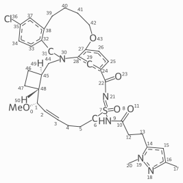 CO[C@H]1/C=C/CCCS(=O)(NC(=O)CCc2cc(C)nn2C)=NC(=O)c2ccc3c(c2)N(Cc2ccc(Cl)cc2CCCCO3)C[C@@H]2CC[C@H]21